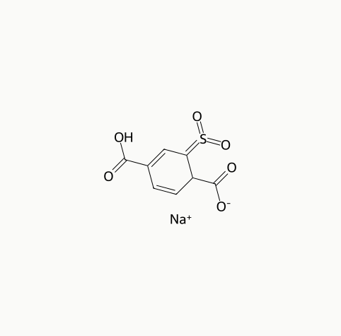 O=C(O)C1=CC(=S(=O)=O)C(C(=O)[O-])C=C1.[Na+]